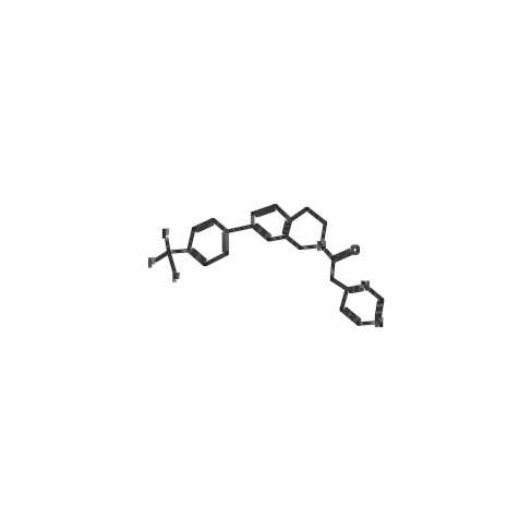 O=C(Cc1ccncn1)N1CCc2ccc(-c3ccc(C(F)(F)F)cc3)cc2C1